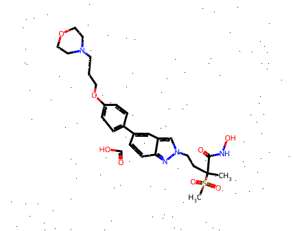 CC(CCn1cc2cc(-c3ccc(OCCCN4CCOCC4)cc3)ccc2n1)(C(=O)NO)S(C)(=O)=O.O=CO